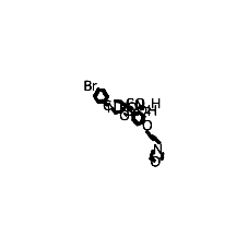 NO.O=C(O)C1(S(=O)(=O)c2ccc(OCC#CCN3CCOCC3)cc2)CCN(Cc2ccc(Br)cc2)CC1